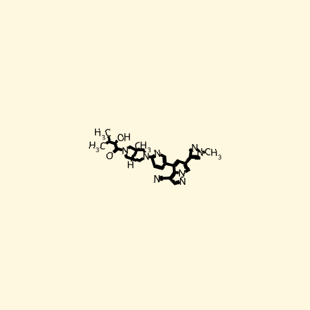 CC(C)C(O)C(=O)N1C[C@@H]2CN(c3ccc(-c4cc(-c5cnn(C)c5)cn5ncc(C#N)c45)cn3)C[C@]2(C)C1